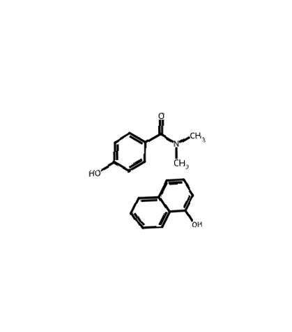 CN(C)C(=O)c1ccc(O)cc1.Oc1cccc2ccccc12